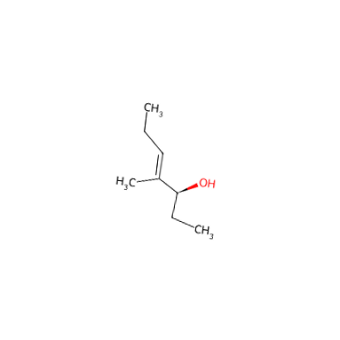 CC/C=C(\C)[C@@H](O)CC